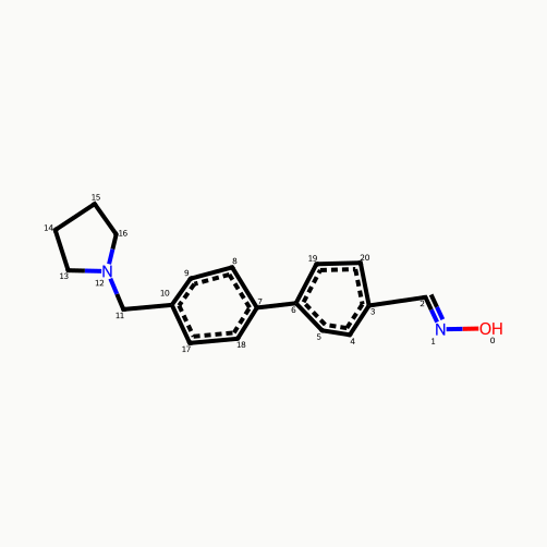 ON=Cc1ccc(-c2ccc(CN3CCCC3)cc2)cc1